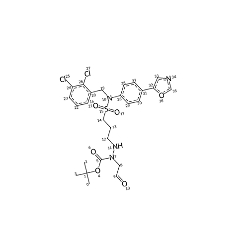 CC(C)(C)OC(=O)N(CC=O)NCCCS(=O)(=O)N(Cc1cccc(Cl)c1Cl)c1ccc(-c2cnco2)cc1